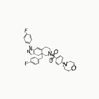 O=S(=O)(c1ccc(N2CCOCC2)cc1)N1CCC2=Cc3c(cnn3-c3ccc(F)cc3)CC2(Cc2ccc(F)cc2)C1